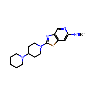 [C-]#[N+]c1cc2sc(N3CCC(N4CCCCC4)CC3)nc2cn1